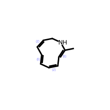 C\C1=C/C=C\C=C\C=C/CN1